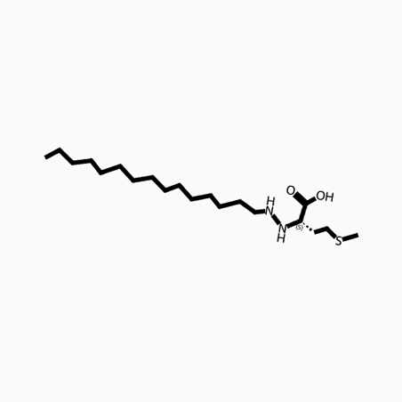 CCCCCCCCCCCCCCCNN[C@@H](CCSC)C(=O)O